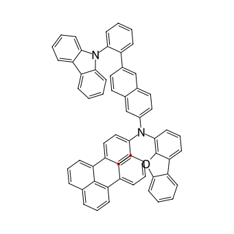 c1ccc(-c2cccc3cccc(-c4ccc(N(c5ccc6cc(-c7ccccc7-n7c8ccccc8c8ccccc87)ccc6c5)c5cccc6c5oc5ccccc56)cc4)c23)cc1